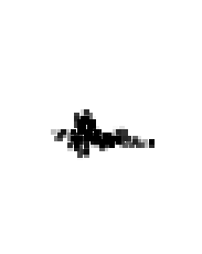 COCC(N)c1cnn2cc(C(NC(=O)OC(C)(C)C)C3CCC(F)(F)CC3)nc2c1